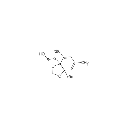 [CH2]C1=CC2(C(C)(C)C)OCOC2(SSO)C(C(C)(C)C)=C1